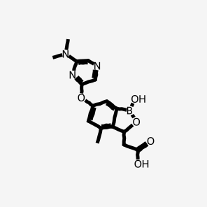 Cc1cc(Oc2cncc(N(C)C)n2)cc2c1C(CC(=O)O)OB2O